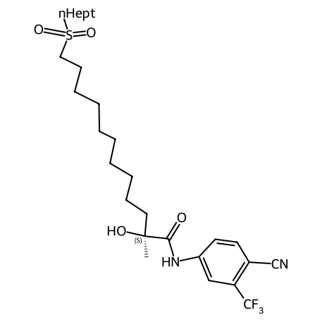 CCCCCCCS(=O)(=O)CCCCCCCCCC[C@](C)(O)C(=O)Nc1ccc(C#N)c(C(F)(F)F)c1